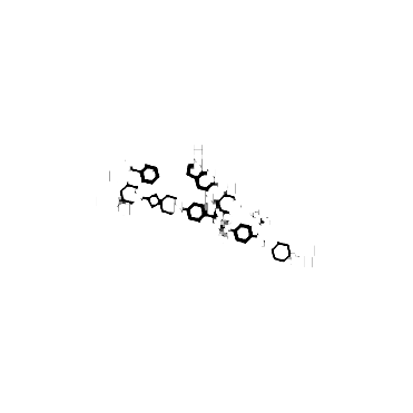 CC(C)c1ccccc1[C@@H]1CC[C@](C)(O)CN1C1CC2(CCN(c3ccc(C(=O)NS(=O)(=O)c4ccc(NC[C@H]5CC[C@](C)(O)CC5)c([N+](=O)[O-])c4)c(N4c5cc6cc[nH]c6nc5O[C@H]5COCC[C@@H]54)c3)CC2)C1